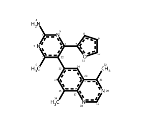 Cc1nc(N)nc(-c2ccco2)c1-c1cc(C)c2ncnc(C)c2c1